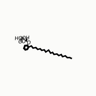 CCCCCCCCCCCCCCCCCCCCc1ccccc1OC(C)OP(=O)(O)O